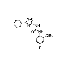 CC(C)COc1cc(F)ccc1NC(=O)Nc1nc(-c2ccccc2)ns1